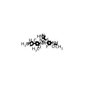 C=CC(=O)Nc1cc(F)cc(Sc2nc(Nc3cc(C)c(C4CCN(C)CC4)cc3OC)nc3[nH]ncc23)c1